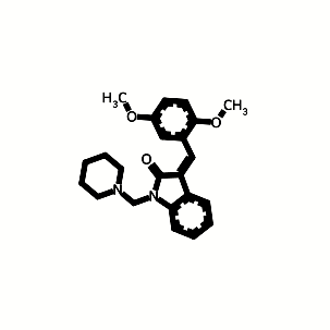 COc1ccc(OC)c(/C=C2\C(=O)N(CN3CCCCC3)c3ccccc32)c1